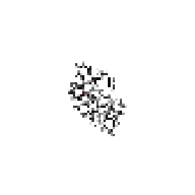 CC1(C)c2ccccc2C2C=CC(N(C3=C(c4ccccc4)C=CCC3)c3cccc4c3-c3ccccc3C43c4ccccc4-c4ccccc43)=CC21